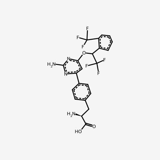 Nc1nc(OC(c2ccccc2C(F)(F)F)C(F)(F)F)cc(-c2ccc(C[C@H](N)C(=O)O)cc2)n1